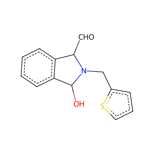 O=CC1c2ccccc2C(O)N1Cc1cccs1